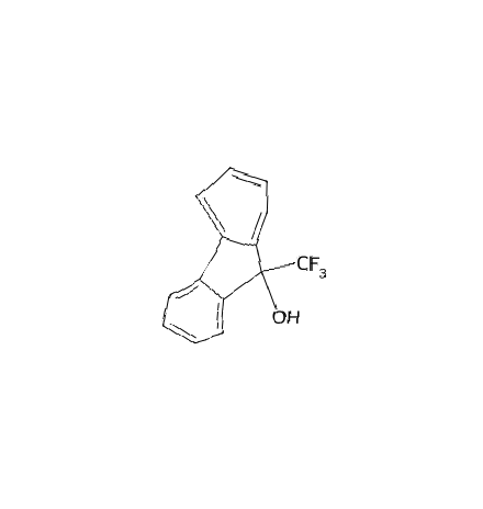 OC1(C(F)(F)F)c2ccccc2-c2ccccc21